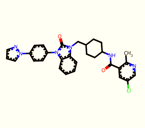 Cc1ncc(Cl)cc1C(=O)NC1CCC(Cn2c(=O)n(-c3ccc(-n4cccn4)cc3)c3ccccc32)CC1